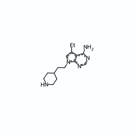 CCc1cn(CCC2CCNCC2)c2ncnc(N)c12